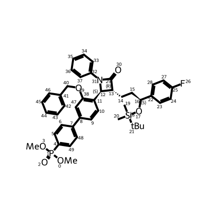 COP(=O)(OC)c1ccc(-c2ccc([C@@H]3[C@@H](CC[C@H](O[Si](C)(C)C(C)(C)C)c4ccc(F)cc4)C(=O)N3c3ccccc3)c(OCc3ccccc3)c2)cc1